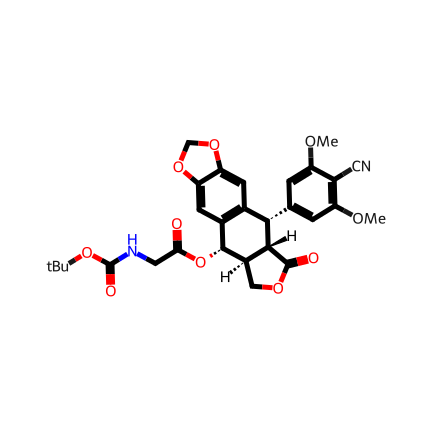 COc1cc([C@H]2c3cc4c(cc3[C@@H](OC(=O)CNC(=O)OC(C)(C)C)[C@@H]3COC(=O)[C@@H]23)OCO4)cc(OC)c1C#N